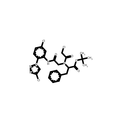 CC(C)(C)OC(=O)C(Cc1ccccc1)N(CC(=O)Nc1cc(Cl)ccc1-n1cc(Cl)nn1)C(=O)CCl